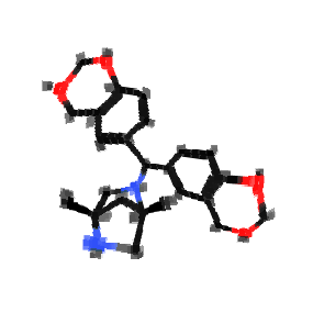 c1cc2c(cc1C(c1ccc3c(c1)COCO3)N1C[C@@H]3C[C@H]1CN3)COCO2